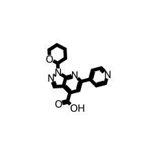 O=C(O)c1cc(-c2ccncc2)nc2c1cnn2C1CCCCO1